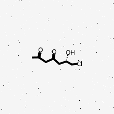 CC(=O)CC(=O)C[C@H](O)CCl